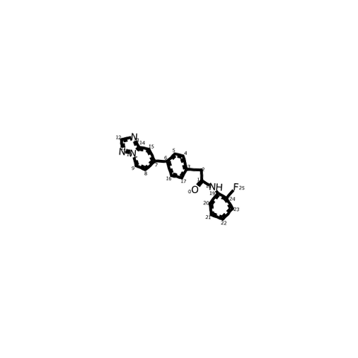 O=C(Cc1ccc(-c2ccn3ncnc3c2)cc1)Nc1ccccc1F